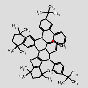 CC1=CC2C3B(c4cc5c(cc4N(C4=CCC(C(C)(C)C)C=C4c4ccccc4)C3=C1)C(C)(C)CCC5(C)C)c1sc3c(c1N2c1ccc(C(C)(C)C)cc1)C(C)(C)CCC3(C)C